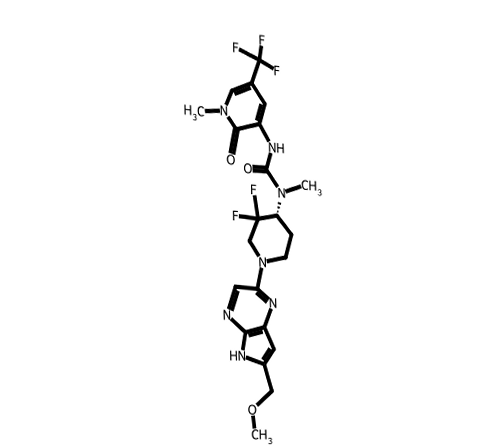 COCc1cc2nc(N3CC[C@@H](N(C)C(=O)Nc4cc(C(F)(F)F)cn(C)c4=O)C(F)(F)C3)cnc2[nH]1